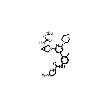 CC[C@@H]1CCN(C(=O)Nc2ccc(C)c(-c3cc(N4CCOCC4)nc(N4CC5C[C@]5(NC(=O)OC(C)(C)C)C4)c3)c2)C1